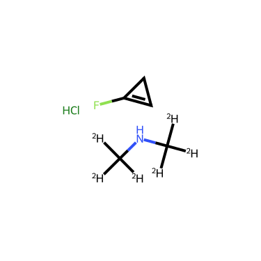 Cl.FC1=CC1.[2H]C([2H])([2H])NC([2H])([2H])[2H]